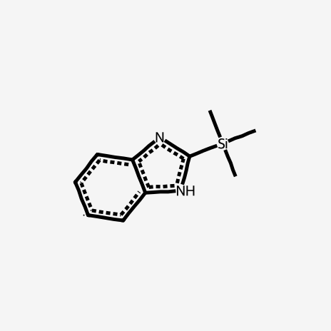 C[Si](C)(C)c1nc2cc[c]cc2[nH]1